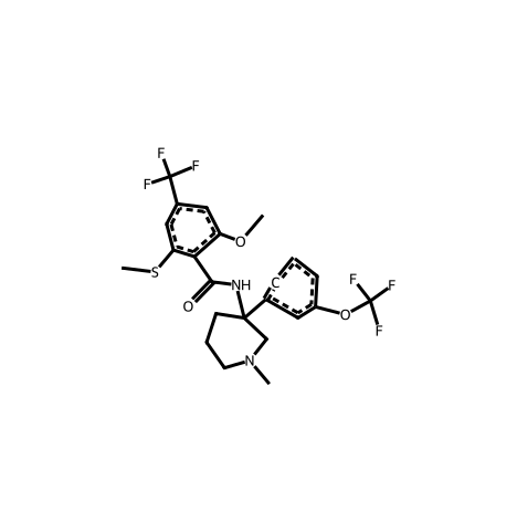 COc1cc(C(F)(F)F)cc(SC)c1C(=O)NC1(c2cccc(OC(F)(F)F)c2)CCCN(C)C1